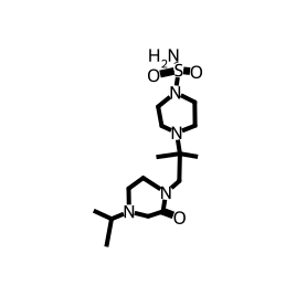 CC(C)N1CCN(CC(C)(C)N2CCN(S(N)(=O)=O)CC2)C(=O)C1